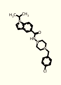 CC(C)n1ccc2cc(C(=O)NN3CCN(Cc4ccc(Cl)cc4)CC3)ccc21